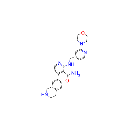 NC(=O)c1c(-c2ccc3c(c2)CNCC3)ccnc1NCc1ccnc(N2CCOCC2)c1